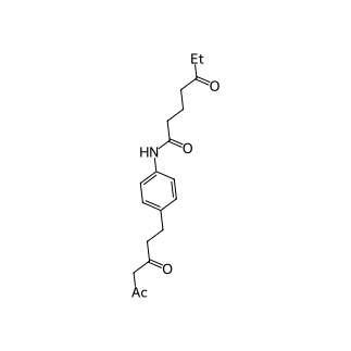 CCC(=O)CCCC(=O)Nc1ccc(CCC(=O)CC(C)=O)cc1